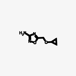 Nc1noc(COC2CC2)n1